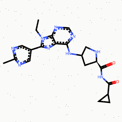 CCn1c(-c2cnc(C)nc2)nc2c(NC3CN[C@@H](C(=O)NC(=O)C4CC4)C3)ncnc21